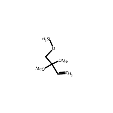 C=CC(CO[SiH3])(OC)OC